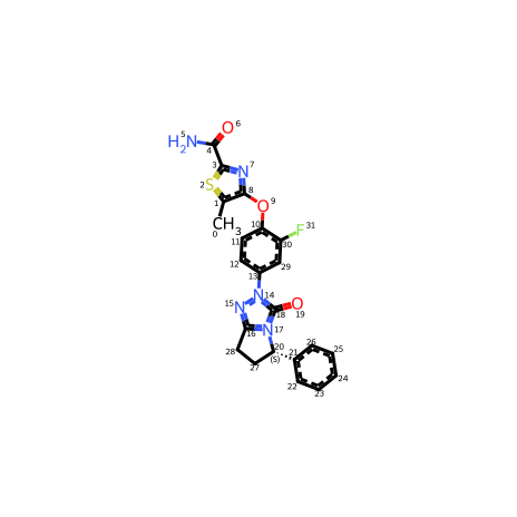 Cc1sc(C(N)=O)nc1Oc1ccc(-n2nc3n(c2=O)[C@H](c2ccccc2)CC3)cc1F